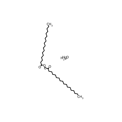 CCCCCCCCCCCCCCCCCC(=O)OOC(=O)CCCCCCCCCCCCCCCCC.O.O